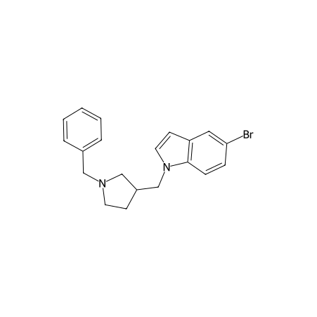 Brc1ccc2c(ccn2CC2CCN(Cc3ccccc3)C2)c1